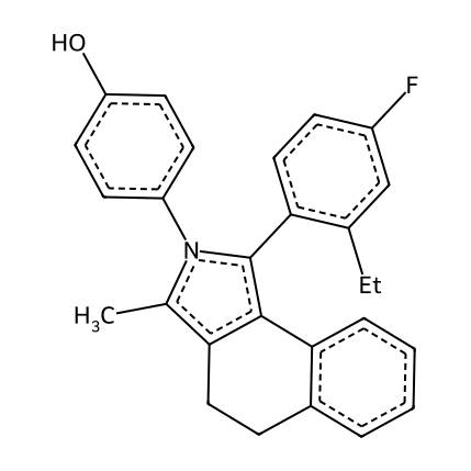 CCc1cc(F)ccc1-c1c2c(c(C)n1-c1ccc(O)cc1)CCc1ccccc1-2